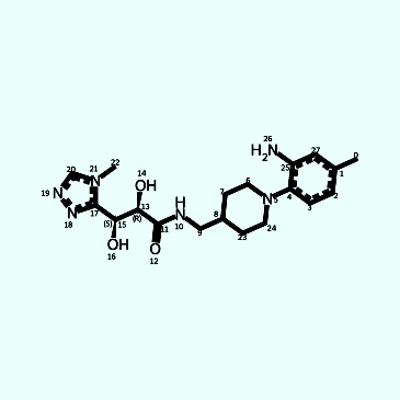 Cc1ccc(N2CCC(CNC(=O)[C@H](O)[C@@H](O)c3nncn3C)CC2)c(N)c1